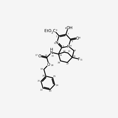 CCOC(=O)c1nc2n(c(=O)c1O)CC1(F)CCC2(NC(=O)OCc2ccccc2)CC1